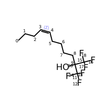 CCC/C=C\CCCCC(O)(C(F)(F)F)C(F)(F)F